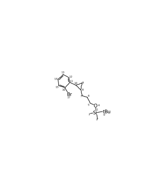 CC(C)(C)[Si](C)(C)OCCCC1CC1c1ccccc1Br